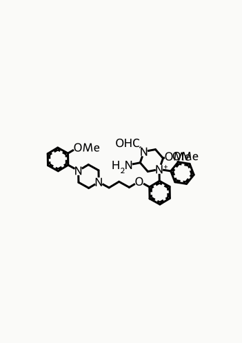 COc1ccccc1N1CCN(CCCOc2ccccc2[N+]2(c3ccccc3OC)CC(N)N(C=O)CC2OC)CC1